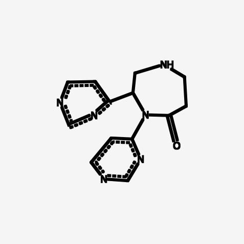 O=C1CCNCC(c2ccncn2)N1c1ccncn1